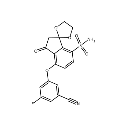 N#Cc1cc(F)cc(Oc2ccc(S(N)(=O)=O)c3c2C(=O)CC32OCCO2)c1